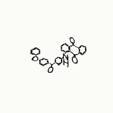 O=C(c1ccc(Nc2cccc3c2C(=O)c2ccccc2C3=O)cc1)c1ccc(Oc2ccccc2)cc1